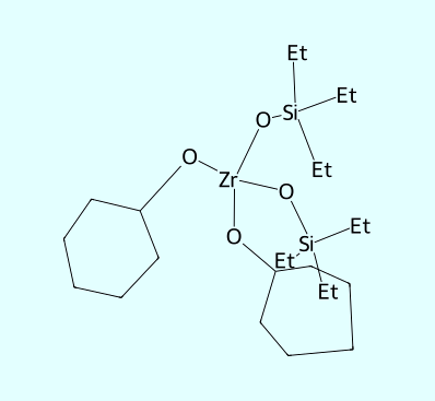 CC[Si](CC)(CC)[O][Zr]([O]C1CCCCC1)([O]C1CCCCC1)[O][Si](CC)(CC)CC